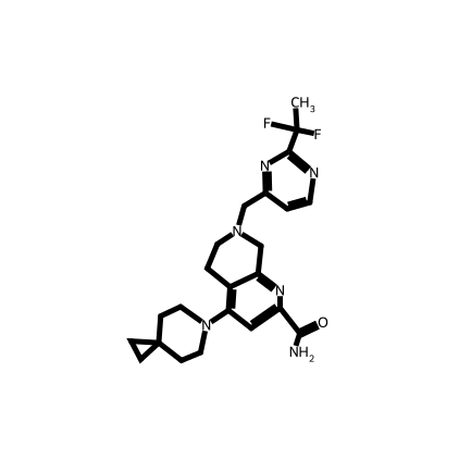 CC(F)(F)c1nccc(CN2CCc3c(N4CCC5(CC4)CC5)cc(C(N)=O)nc3C2)n1